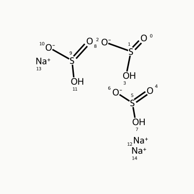 O=S([O-])O.O=S([O-])O.O=S([O-])O.[Na+].[Na+].[Na+]